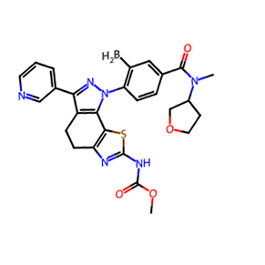 Bc1cc(C(=O)N(C)C2CCOC2)ccc1-n1nc(-c2cccnc2)c2c1-c1sc(NC(=O)OC)nc1CC2